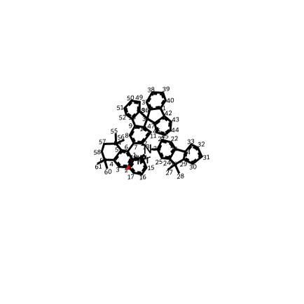 CC(C)c1ccc2c(c1-c1cc3c(cc1N(c1ccccc1)c1ccc4c(c1)C(C)(C)c1ccccc1-4)C1(c4ccccc4-c4ccccc41)c1ccccc1-3)C(C)(C)CCC2(C)C